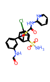 NS(=O)(=O)c1c2cccc1C21C(c2cccc(NC=O)c2)=NC(Cl)=S1C(=O)Nc1ccccn1